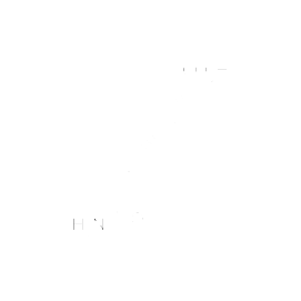 NC(=O)c1cccc(C#Cc2cccc(C(=O)O)c2)c1